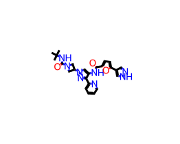 CC(C)(C)NC(=O)N1CC(n2cc(NC(=O)c3ccc(-c4cn[nH]c4)o3)c(-c3ccccn3)n2)C1